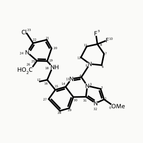 COc1cn2c(N3CCC(F)(F)CC3)nc3c(C(C)Nc4ccc(Cl)nc4C(=O)O)cccc3c2n1